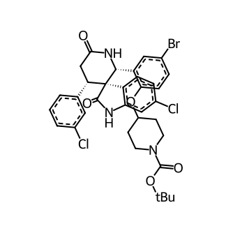 CC(C)(C)OC(=O)N1CCC(Oc2ccc(Br)cc2[C@H]2NC(=O)C[C@@H](c3cccc(Cl)c3)[C@]23C(=O)Nc2cc(Cl)ccc23)CC1